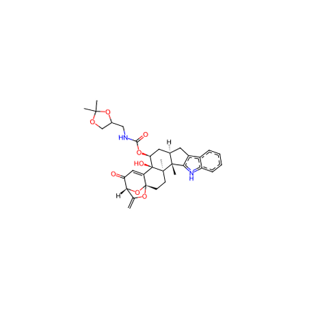 C=C1O[C@@]23CC[C@]4(C)[C@@]5(C)c6[nH]c7ccccc7c6C[C@@H]5C[C@H](OC(=O)NCC5COC(C)(C)O5)[C@@]4(O)C2=CC(=O)[C@@H]1O3